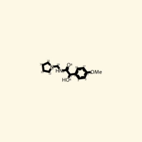 COc1ccc(C(O)C(=O)NCN2CCCC2)cc1